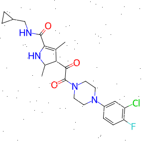 CC1=C(C(=O)NCC2CC2)NC(C)C1C(=O)C(=O)N1CCN(c2ccc(F)c(Cl)c2)CC1